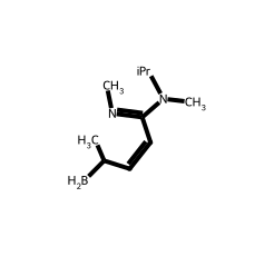 BC(C)/C=C\C(=N\C)N(C)C(C)C